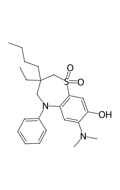 CCCCC1(CC)CN(c2ccccc2)c2cc(N(C)C)c(O)cc2S(=O)(=O)C1